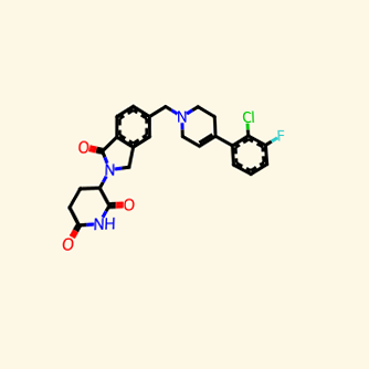 O=C1CCC(N2Cc3cc(CN4CC=C(c5cccc(F)c5Cl)CC4)ccc3C2=O)C(=O)N1